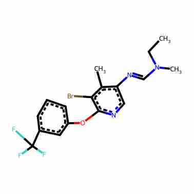 CCN(C)/C=N/c1cnc(Oc2cccc(C(F)(F)F)c2)c(Br)c1C